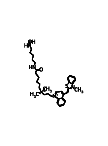 CN1/C(=C/c2cc[n+](CCC[N+](C)(C)CCCCCC(=O)NCCCCCNO)c3ccccc23)Sc2ccccc21